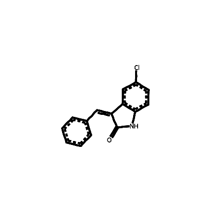 O=C1Nc2ccc(Cl)cc2C1=Cc1ccccc1